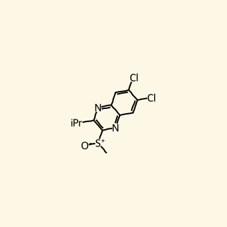 CC(C)c1nc2cc(Cl)c(Cl)cc2nc1[S+](C)[O-]